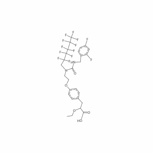 CCOC(Cc1ccc(OCCN(CC(F)(F)C(F)(F)C(F)(F)C(F)(F)C(F)(F)F)C(=O)NCc2ccc(F)cc2F)cc1)C(=O)O